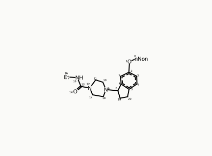 CCCCCCCCCOc1ccc2c(c1)C(N1CCN(C(=O)NCC)CC1)CC2